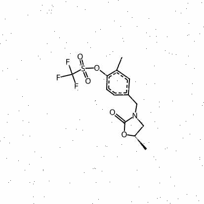 Cc1cc(CN2C[C@@H](C)OC2=O)ccc1OS(=O)(=O)C(F)(F)F